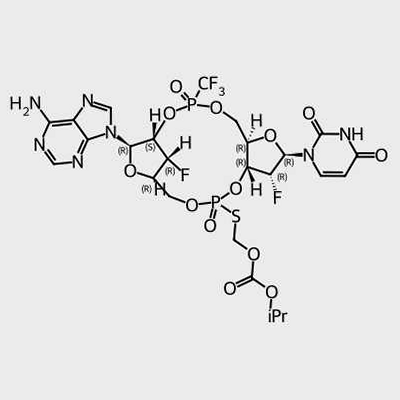 CC(C)OC(=O)OCSP1(=O)OC[C@H]2O[C@@H](n3cnc4c(N)ncnc43)[C@H](OP(=O)(C(F)(F)F)OC[C@H]3O[C@@H](n4ccc(=O)[nH]c4=O)[C@H](F)[C@@H]3O1)[C@@H]2F